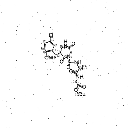 CC[C@@H](NC(=O)N1CC(=O)NCC(Cc2cc(Cl)ccc2OC)C1=O)C(=O)NCC(=O)OC(C)(C)C